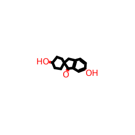 O=C1c2cc(O)ccc2CC12CCC(O)CC2